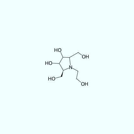 OCCN1C(CO)C(O)C(O)[C@@H]1CO